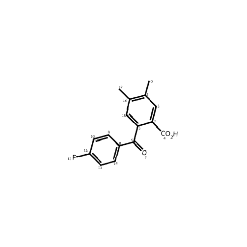 Cc1cc(C(=O)O)c(C(=O)c2ccc(F)cc2)cc1C